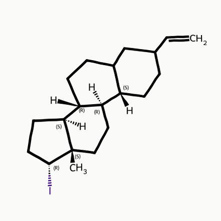 C=CC1CC[C@H]2C(CC[C@@H]3[C@@H]2CC[C@]2(C)[C@H](I)CC[C@@H]32)C1